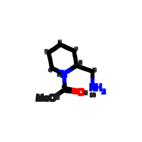 COC(=O)N1CCCCC1CN